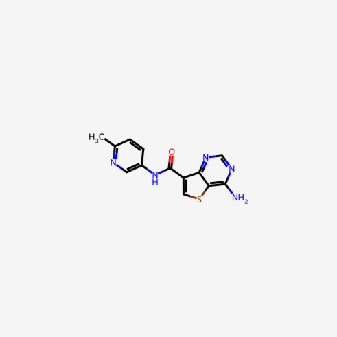 Cc1ccc(NC(=O)c2csc3c(N)ncnc23)cn1